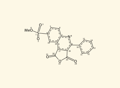 COS(=O)(=O)c1ccc2nc(-c3ccccc3)c3c(c2c1)C(=O)OC3=O